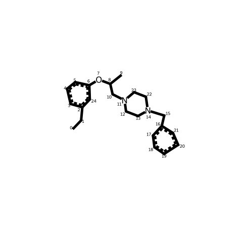 CCc1cccc(OC(C)CN2CCN(Cc3ccccc3)CC2)c1